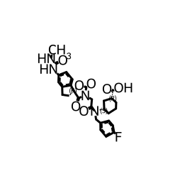 CNC(=O)Nc1ccc2c(c1)CC[C@@]21OC(=O)N(CC(=O)N(Cc2ccc(F)cc2)[C@H]2CCC[C@@H](C(=O)O)C2)C1=O